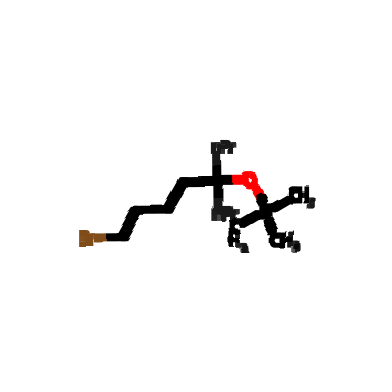 CCCC(CCC)(CCCCBr)O[Si](C)(C)C